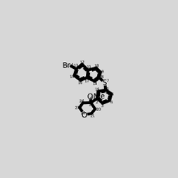 COC1(c2cccc(Sc3ccc4cc(Br)ccc4c3)c2)CCOCC1